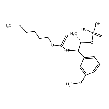 CCCCCCOC(=O)N[C@H](c1cccc(SC)c1)[C@H](C)OP(=O)(O)O